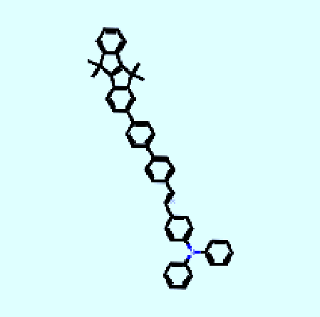 CC1(C)C2=C(c3ccccc31)C(C)(C)c1cc(-c3ccc(-c4ccc(/C=C/c5ccc(N(c6ccccc6)c6ccccc6)cc5)cc4)cc3)ccc12